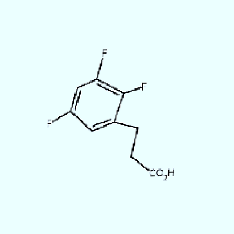 O=C(O)CCc1cc(F)cc(F)c1F